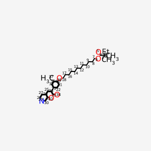 CCC(C)(C)C(=O)OCCCCCCCCCCCCOc1ccc(-c2cc3ccncc3oc2=O)cc1C